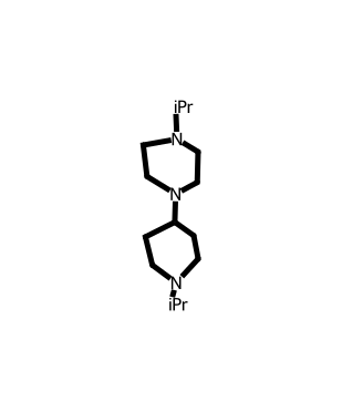 CC(C)N1CCC(N2CCN(C(C)C)CC2)CC1